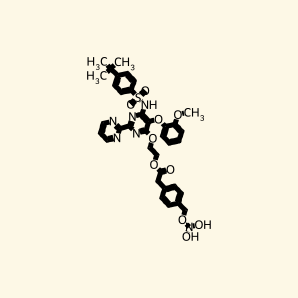 COc1ccccc1Oc1c(NS(=O)(=O)c2ccc(C(C)(C)C)cc2)nc(-c2ncccn2)nc1OCCOC(=O)Cc1ccc(CON(O)O)cc1